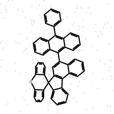 c1ccc(-c2c3ccccc3c(-c3cc4c(c5ccccc35)-c3ccccc3C43c4ccccc4Oc4ccccc43)c3ccccc23)cc1